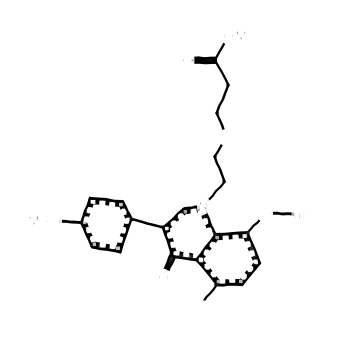 CCCOc1ccc(F)c2c(=O)c(-c3ccc(OC)cc3)cn(CCSCCC(=O)OC)c12